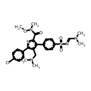 CON(C)C(=O)c1sc(-c2ccc(Cl)cc2)c(CN(C)C)c1-c1ccc(S(=O)(=O)N=CN(C)C)cc1